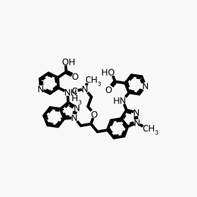 CN(C)CCOC(Cc1ccc2c(c1)c(Nc1cnccc1C(=O)O)nn2C)Cn1nc(Nc2cnccc2C(=O)O)c2ccccc21